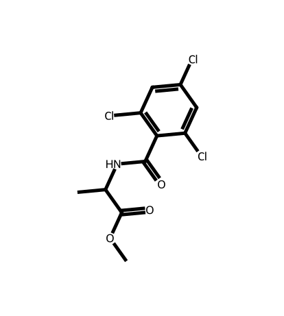 COC(=O)C(C)NC(=O)c1c(Cl)cc(Cl)cc1Cl